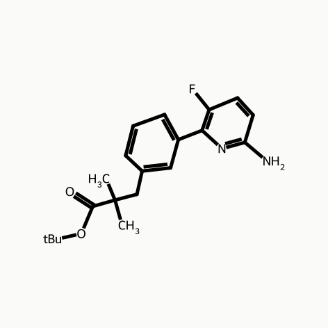 CC(C)(C)OC(=O)C(C)(C)Cc1cccc(-c2nc(N)ccc2F)c1